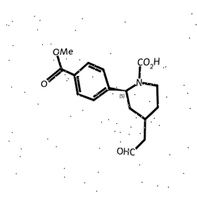 COC(=O)c1ccc([C@@H]2CC(CC=O)CCN2C(=O)O)cc1